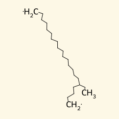 [CH2]CCCCCCCCCCCCCCCC(CC)CCC[CH2]